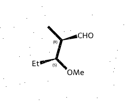 CC[C@H](OC)[C@@H](C)C=O